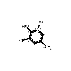 F[n+]1cc(C(F)(F)F)cc(Cl)c1S